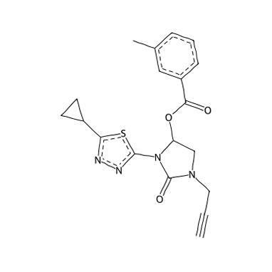 C#CCN1CC(OC(=O)c2cccc(C)c2)N(c2nnc(C3CC3)s2)C1=O